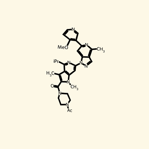 COc1ccncc1-c1cc2c(cnn2-c2cc3c(c(C(C)C)n2)c(C)c(C(=O)N2CCN(C(C)=O)CC2)n3C)c(C)n1